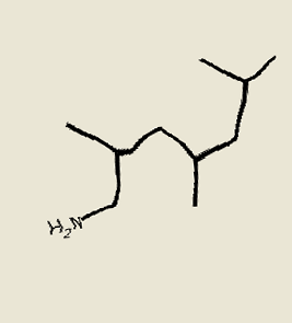 CC(C)CC(C)CC(C)CN